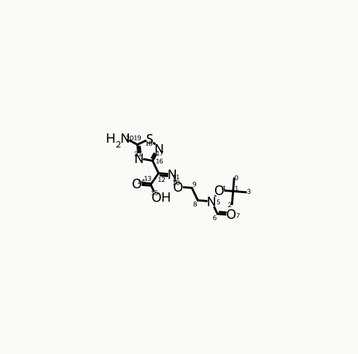 CC(C)(C)ON(C=O)CCON=C(C(=O)O)c1nsc(N)n1